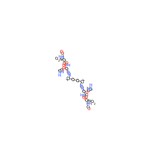 CC1(C)CCC(CN2CCN(c3ccc(C(=O)NS(=O)(=O)c4ccc(NCC5CCOCC5)c([N+](=O)[O-])c4)c(Oc4cnc5[nH]ccc5c4)c3)CC2)=C(c2ccc(-c3ccc(C4=C(CN5CCN(c6ccc(C(=O)NS(=O)(=O)c7ccc(NCC8CCOCC8)c([N+](=O)[O-])c7)c(Oc7cnc8[nH]ccc8c7)c6)CC5)CCC(C)(C)C4)cc3)cc2)C1